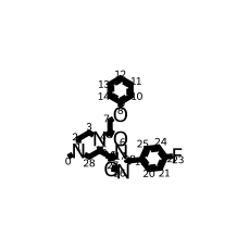 CN1CCN(C(=O)COc2ccccc2)C(c2nc(-c3ccc(F)cc3)no2)C1